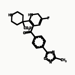 CCOC(=O)C1(C2=C(C(=O)c3ccc(-c4nc(C)no4)cc3)C=C(F)CN2)CCNCC1